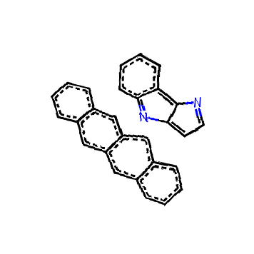 C1=NC2=c3ccccc3=NC2=C1.c1ccc2cc3cc4ccccc4cc3cc2c1